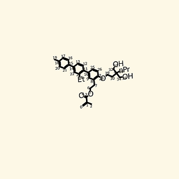 C=C(C)C(=O)OCCc1cc(-c2ccc(-c3ccc(C)cc3)cc2CC)ccc1OCCC(CO)(CO)CCC